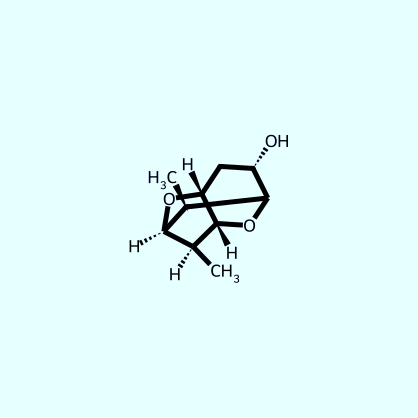 C[C@@H]1[C@H]2OC3[C@@H](O)C[C@H]2O[C@H]1[C@H]3C